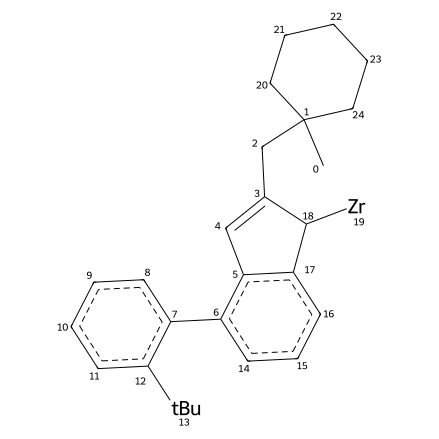 CC1(CC2=Cc3c(-c4ccccc4C(C)(C)C)cccc3[CH]2[Zr])CCCCC1